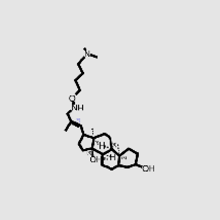 C/C(=C\C1CC[C@@]2(O)[C@@H]3CCC4CC(O)CC[C@]4(C)[C@@H]3CC[C@]12C)CNOCCCCN(C)C